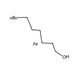 CCCCCCCCCCO.[Fe]